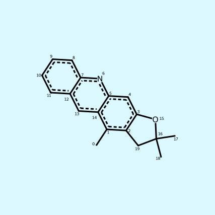 Cc1c2c(cc3nc4ccccc4cc13)OC(C)(C)C2